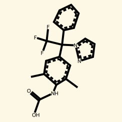 Cc1cc(C(c2ccccc2)(n2cccn2)C(F)(F)F)cc(C)c1NC(=O)O